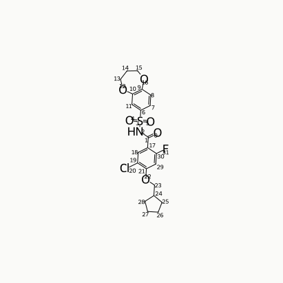 O=C(NS(=O)(=O)c1ccc2c(c1)OCCCO2)c1cc(Cl)c(OCC2CCCC2)cc1F